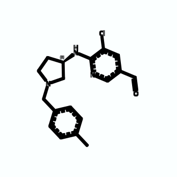 Cc1ccc(CN2CC[C@@H](Nc3ncc(C=O)cc3Cl)C2)cc1